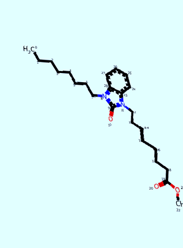 CCCCCCCCn1c(=O)n(CCCCCCCC(=O)OC)c2ccccc21